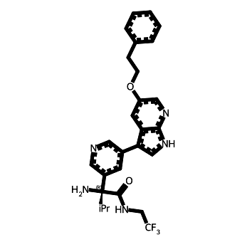 CC(C)[C@](N)(C(=O)NCC(F)(F)F)c1cncc(-c2c[nH]c3ncc(OCCc4ccccc4)cc23)c1